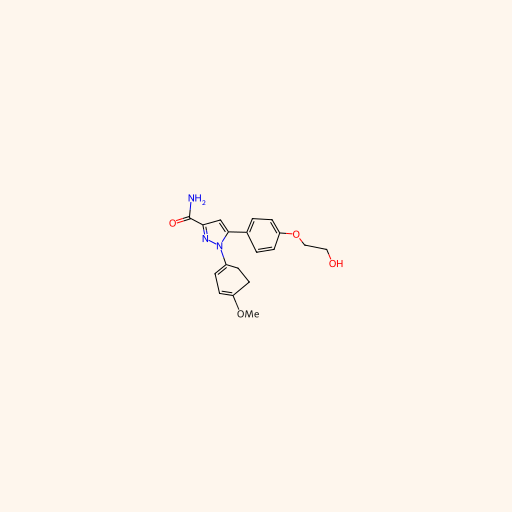 COC1=CC=C(n2nc(C(N)=O)cc2-c2ccc(OCCO)cc2)CC1